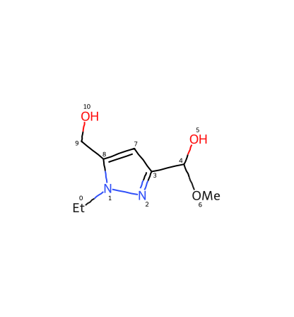 CCn1nc(C(O)OC)cc1CO